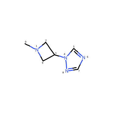 CN1CC(n2cncn2)C1